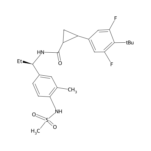 CC[C@@H](NC(=O)C1CC1c1cc(F)c(C(C)(C)C)c(F)c1)c1ccc(NS(C)(=O)=O)c(C)c1